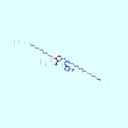 CCCCCCCCCCCCCCCCN(Cc1ccc(OCCCCCCCCCCCC)c(C(C)(C)C)c1)Cc1ccc[n+](CC)c1.[I-]